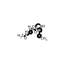 CC(=O)NCc1ccc(NC(=O)N2c3nc(-c4cccc(C)c4)ccc3NCCC[C@H]2C)cc1